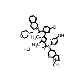 Cc1c(C(=O)N(c2cnc3c(ccn3C)c2)c2ccc(O)cn2)cc(-c2cc(Cl)ccc2C(=O)N2Cc3ccccc3C[C@H]2CN2CCOCC2)n1C.Cl